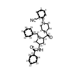 N#Cc1ccccc1N1CCN(C(=O)C2CC(NC(=O)c3ccccc3)CN2Cc2ccccc2)CC1